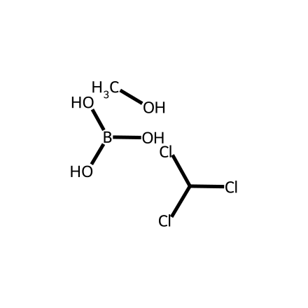 CO.ClC(Cl)Cl.OB(O)O